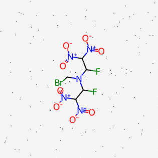 O=[N+]([O-])C(C(F)N(CBr)C(F)C([N+](=O)[O-])[N+](=O)[O-])[N+](=O)[O-]